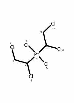 ClC[CH](Cl)[Pt]([Cl])([Cl])[CH](Cl)CCl